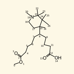 COC(=O)CCCCC(CCCC(=O)O)C1(C)CCN(C)C(C)(C)C1(C)C